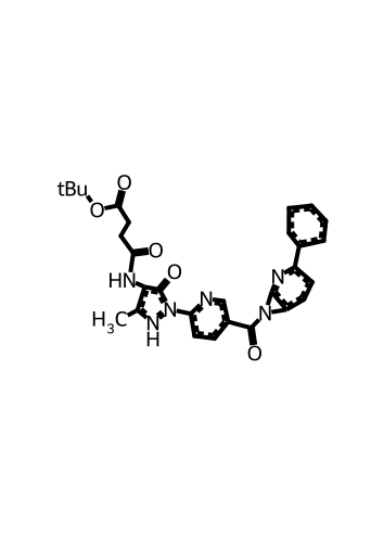 Cc1[nH]n(-c2ccc(C(=O)N3c4ccc(-c5ccccc5)nc43)cn2)c(=O)c1NC(=O)CCC(=O)OC(C)(C)C